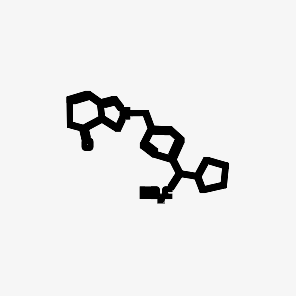 O=C1CC=CC2=CN(Cc3ccc(C(C(=O)O)C4CCCC4)cc3)CC12